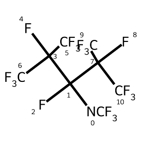 FC(F)(F)NC(F)(C(F)(C(F)(F)F)C(F)(F)F)C(F)(C(F)(F)F)C(F)(F)F